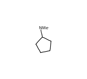 C[N]C1CCCC1